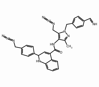 Cc1nn(Cc2ccc(C=N)cc2)c(CN=[N+]=[N-])c1NC(=O)C1=CC(c2ccc(CN=[N+]=[N-])cc2)Nc2ccccc21